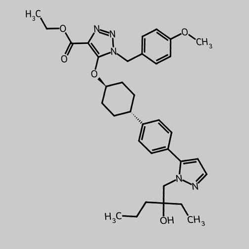 CCCC(O)(CC)Cn1nccc1-c1ccc([C@H]2CC[C@H](Oc3c(C(=O)OCC)nnn3Cc3ccc(OC)cc3)CC2)cc1